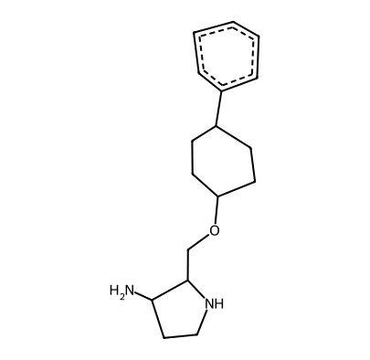 NC1CCNC1COC1CCC(c2ccccc2)CC1